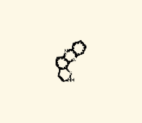 C1=Cc2ccc3nc4ccccc4nc3c2SN1